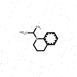 CC(C(=O)O)N1CCCc2ccccc21